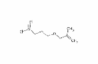 C=C(C)COCCC[SiH](Cl)Cl